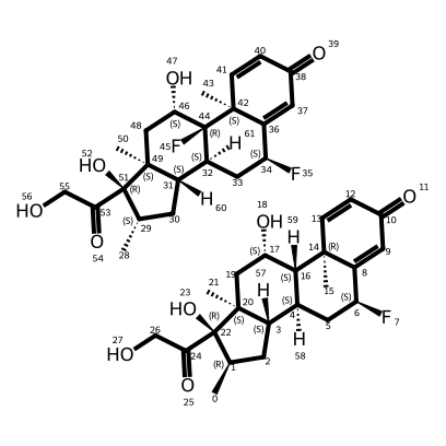 C[C@@H]1C[C@H]2[C@@H]3C[C@H](F)C4=CC(=O)C=C[C@]4(C)[C@H]3[C@@H](O)C[C@]2(C)[C@@]1(O)C(=O)CO.C[C@H]1C[C@H]2[C@@H]3C[C@H](F)C4=CC(=O)C=C[C@]4(C)[C@@]3(F)[C@@H](O)C[C@]2(C)[C@@]1(O)C(=O)CO